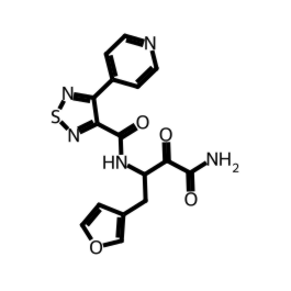 NC(=O)C(=O)C(Cc1ccoc1)NC(=O)c1nsnc1-c1ccncc1